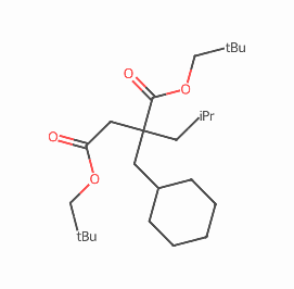 CC(C)CC(CC(=O)OCC(C)(C)C)(CC1CCCCC1)C(=O)OCC(C)(C)C